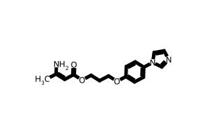 CC(N)=CC(=O)OCCCOc1ccc(-n2ccnc2)cc1